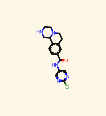 O=C(Nc1cnc(Cl)nc1)c1ccc2c(c1)CCN1CCNCC21